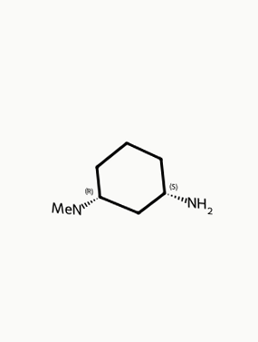 CN[C@@H]1CCC[C@H](N)C1